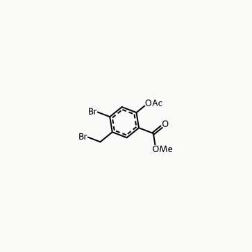 COC(=O)c1cc(CBr)c(Br)cc1OC(C)=O